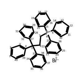 [Br-].c1ccc(C(CC[P+](c2ccccc2)(c2ccccc2)c2ccccc2)(c2ccccc2)c2ccccc2)cc1